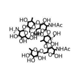 CC(=O)NC1C(O)OC(CO[C@@H]2OC(C)[C@@H](O)C(O)[C@H]2O)[C@@H](O[C@@H]2O[C@@H](CO)[C@@H](O[C@@H]3OC(CO)[C@@H](O[C@@H]4O[C@@H](CO)[C@@H](O[C@@H]5OC(CO)[C@@H](O)[C@H](O)C5N)C(O)C4C)[C@H](O)C3NC(C)=O)C(O)C2C)[C@@H]1O